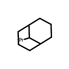 C[C](C)C1C2CCCC1CCC2